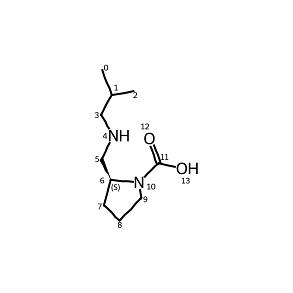 CC(C)CNC[C@@H]1CCCN1C(=O)O